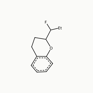 CCC(F)C1CCc2ccccc2O1